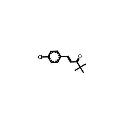 CC(C)(C)C(=O)C=Cc1ccc(Cl)cc1